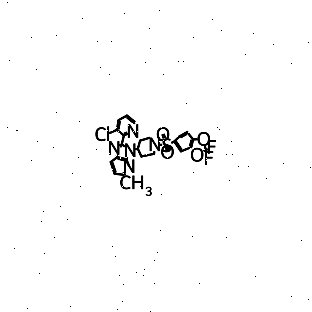 Cc1ccc2nc(-c3ncccc3Cl)n(C3CCN(S(=O)(=O)c4ccc5c(c4)OC(F)(F)O5)CC3)c2n1